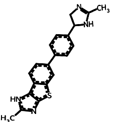 CC1=NCC(c2ccc(-c3ccc4c(c3)sc3nc(C)[nH]c34)cc2)N1